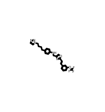 FC(F)(F)Oc1cccc(C=Cc2nc(CNc3ccc(CCCCn4ccnn4)cc3)co2)c1